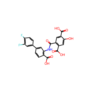 O=C(O)c1cc(C(=O)Nc2cc(-c3ccc(F)c(F)c3)ccc2C(=O)O)c(C(=O)O)cc1O